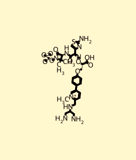 C[n+]1cc(-c2ccc(OC[C@H](O/N=C(\C(=O)N[C@@H]3C(=O)N(OS(=O)(=O)[O-])C3(C)C)c3csc(N)n3)C(=O)O)cc2)ccc1CNC(CN)CN